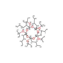 CCCC[Si]1(OC(C)C)O[Si](CCCC)(OC(C)C)O[Si](CCCC)(OC(C)C)O[Si](CCCC)(OC(C)C)O[Si](CCCC)(OC(C)C)O1